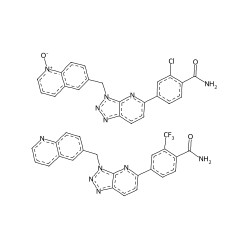 NC(=O)c1ccc(-c2ccc3nnn(Cc4ccc5c(ccc[n+]5[O-])c4)c3n2)cc1Cl.NC(=O)c1ccc(-c2ccc3nnn(Cc4ccc5ncccc5c4)c3n2)cc1C(F)(F)F